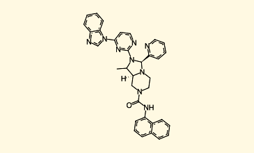 CC1[C@@H]2CN(C(=O)Nc3cccc4ccccc34)CCN2[C@H](c2ccccn2)N1c1nccc(-n2cnc3ccccc32)n1